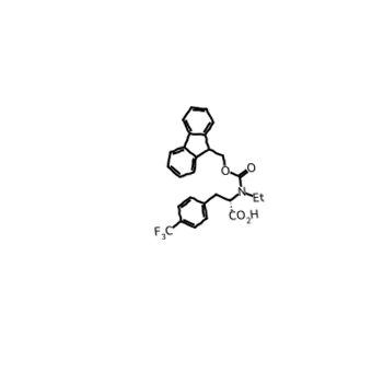 CCN(C(=O)OCC1c2ccccc2-c2ccccc21)[C@@H](Cc1ccc(C(F)(F)F)cc1)C(=O)O